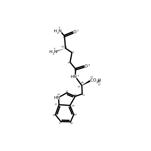 NC(=O)[C@@H](N)CCC(=O)N[C@H](Cc1c[nH]c2ccccc12)C(=O)O.[K]